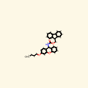 O=[C]CCCOc1ccc2c(c1)Oc1ccccc1C2NC(=O)OCC1c2ccccc2-c2ccccc21